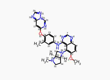 COc1ccc2ncnc(Nc3ccc(Oc4cc5ncnn5cn4)c(C)c3)c2c1N1C[C@H]2[C@@H]1CCN2C